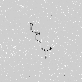 O=CNCCC=C(F)F